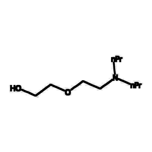 CCCN(CCC)CCOCCO